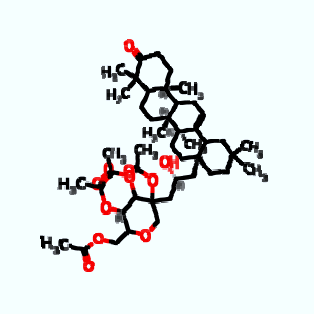 CC(=O)OCC1OCC(C[C@H](O)C[C@]23CCC(C)(C)CC2C2=CCC4[C@@]5(C)CCC(=O)C(C)(C)C5CC[C@@]4(C)[C@]2(C)CC3)(OC(C)=O)C(OC(C)=O)[C@@H]1OC(C)=O